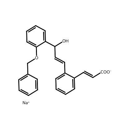 O=C([O-])/C=C/c1ccccc1/C=C/C(O)c1ccccc1OCc1ccccc1.[Na+]